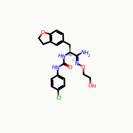 N/C(=N\OCCO)[C@H](Cc1ccc2c(c1)CCO2)NC(=O)Nc1ccc(Cl)cc1